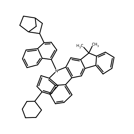 CC1(C)c2ccccc2-c2cc(-c3ccccc3)c(N(c3ccc(C4CCCCC4)cc3)c3ccc(C4CC5CCC4C5)c4ccccc34)cc21